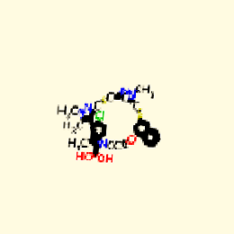 Cc1c(C(O)O)n2c3ccc(Cl)c(c13)-c1c(nn(C)c1C)CSCc1cc(n(C)n1)CSc1cc(c3ccccc3c1)OCCC2